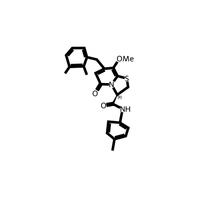 COc1c(Cc2cccc(C)c2C)cc(=O)n2c1SC[C@H]2C(=O)Nc1ccc(C)cc1